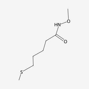 CONC(=O)CCCCSC